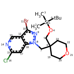 CC(C)(C)[Si](C)(C)OCC1(Cn2nc(Br)c3cnc(Cl)cc32)CCOCC1